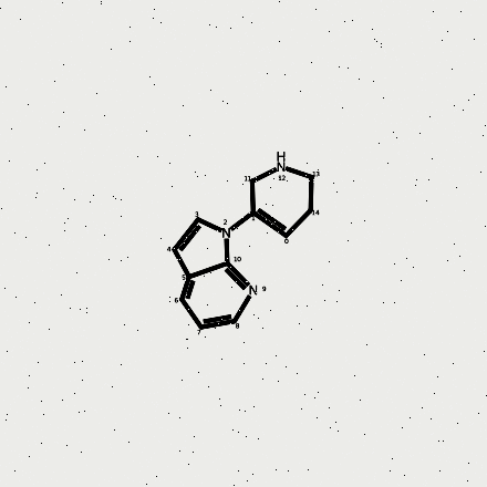 C1=C(n2ccc3cccnc32)CNCC1